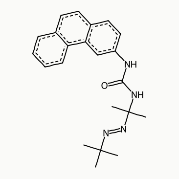 CC(C)(C)N=NC(C)(C)NC(=O)Nc1ccc2ccc3ccccc3c2c1